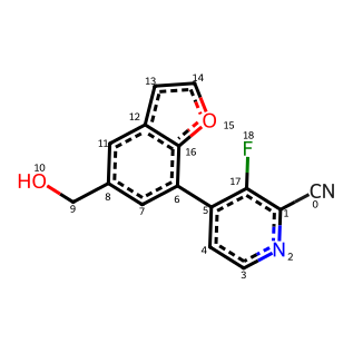 N#Cc1nccc(-c2cc(CO)cc3ccoc23)c1F